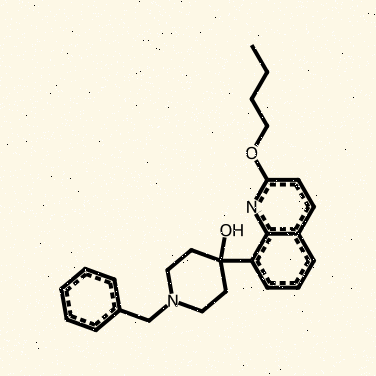 CCCCOc1ccc2cccc(C3(O)CCN(Cc4ccccc4)CC3)c2n1